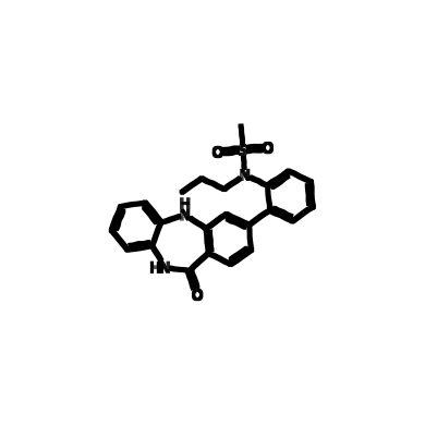 CCCN(c1ccccc1-c1ccc2c(c1)Nc1ccccc1NC2=O)S(C)(=O)=O